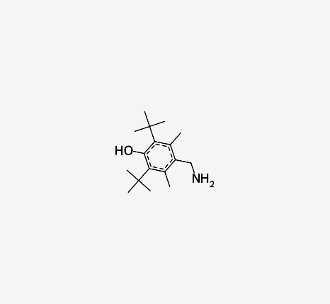 Cc1c(CN)c(C)c(C(C)(C)C)c(O)c1C(C)(C)C